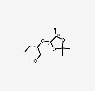 CC[C@@H](CO)O[C@@H]1OC(C)(C)O[C@@H]1C